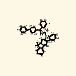 CC1(C)c2ccccc2-c2cc3c4ccccc4n(-c4nc(-c5ccc(-c6ccccc6)cc5)c5c(n4)=CCCC=5)c3cc21